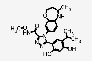 CONC(=O)c1nnc(-c2cc(C(C)C)c(O)cc2O)n1-c1ccc2c(c1)OCCC(C)N2